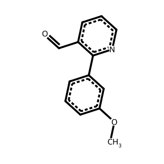 COc1cccc(-c2ncccc2C=O)c1